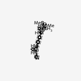 COC(=O)N[C@H](C(=O)N1CCC[C@H]1c1ncc(-c2ccc(-c3ccc(-c4ccc(C5=C(C(=O)NCc6cccnc6)CCC5)[nH]4)cc3)cc2)[nH]1)[C@@H](C)OC